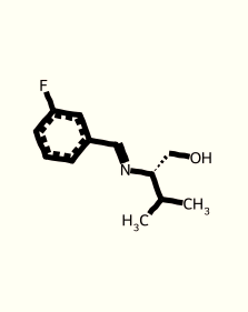 CC(C)[C@@H](CO)N=Cc1cccc(F)c1